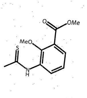 COC(=O)c1cccc(NC(C)=S)c1OC